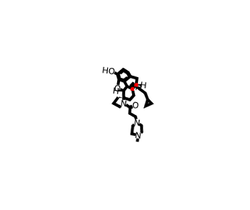 CN1CCN(CCC(=O)N2CCC[C@]23CC[C@@]2(O)[C@H]4Cc5ccc(O)c6c5[C@@]2(CCN4CC2CC2)[C@H]3O6)CC1